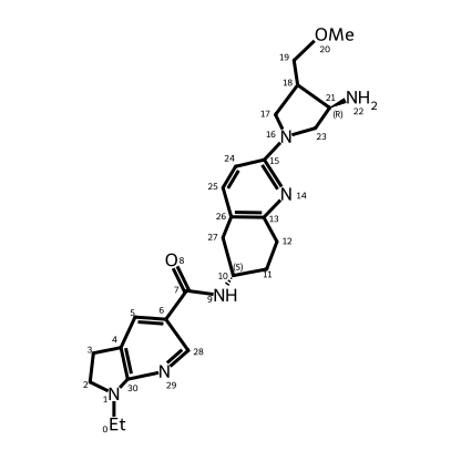 CCN1CCc2cc(C(=O)N[C@H]3CCc4nc(N5CC(COC)[C@@H](N)C5)ccc4C3)cnc21